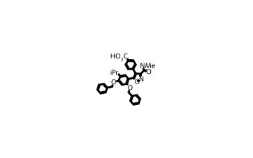 CNC(=O)c1noc(-c2cc(C(C)C)c(OCc3ccccc3)cc2OCc2ccccc2)c1-c1ccc(C(=O)O)cc1